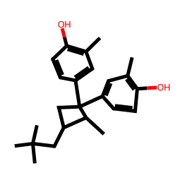 Cc1cc(C2(c3ccc(O)c(C)c3)CC(CC(C)(C)C)C2C)ccc1O